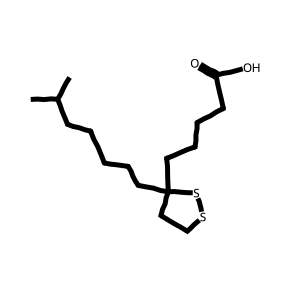 CC(C)CCCCCC1(CCCCC(=O)O)CCSS1